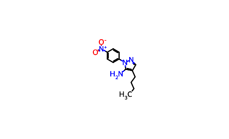 CCCCc1cnn(-c2ccc([N+](=O)[O-])cc2)c1N